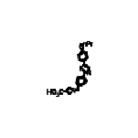 CCCOc1ccc(-c2cnc(-c3ccc(CN4CC(C(=O)O)C4)cc3)s2)cc1